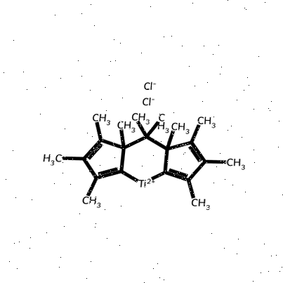 CC1=C(C)C2(C)[C](=C1C)[Ti+2][C]1=C(C)C(C)=C(C)C1(C)C2(C)C.[Cl-].[Cl-]